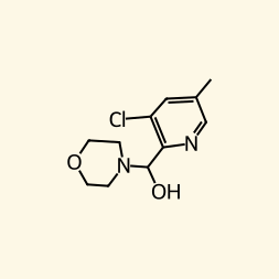 Cc1cnc(C(O)N2CCOCC2)c(Cl)c1